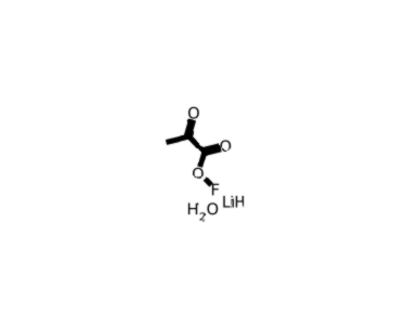 CC(=O)C(=O)OF.O.[LiH]